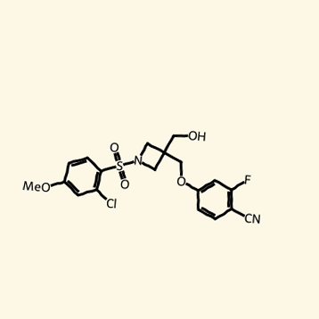 COc1ccc(S(=O)(=O)N2CC(CO)(COc3ccc(C#N)c(F)c3)C2)c(Cl)c1